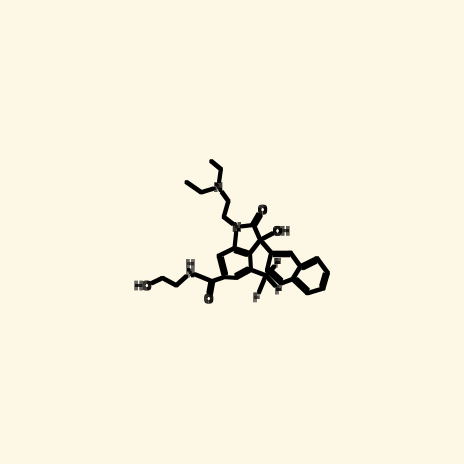 CCN(CC)CCN1C(=O)C(O)(c2ccc3ccccc3c2)c2c1cc(C(=O)NCCO)cc2C(F)(F)F